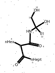 CCCCCCCC(=O)C(CCCCCC)C(=O)NC(O)(CC)CO